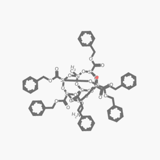 C[Si]12O[Si]3(C(=O)OCc4ccccc4)O[Si]4(C(=O)OCc5ccccc5)O[Si]5(CN)O[Si](C(=O)OCc6ccccc6)(O3)O[Si](C(=O)OCc3ccccc3)(O1)O[Si](C(=O)OCc1ccccc1)(O5)O[Si](C(=O)OCc1ccccc1)(O2)O4